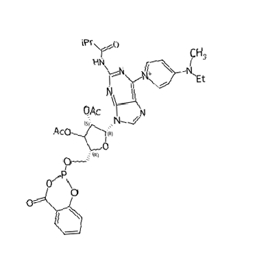 CCN(C)c1cc[n+](-c2nc(NC(=O)C(C)C)nc3c2ncn3[C@@H]2O[C@H](COP3OC(=O)c4ccccc4O3)C(OC(C)=O)[C@@H]2OC(C)=O)cc1